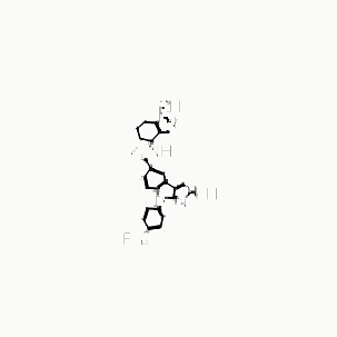 Cn1cc2c3cc(C(=O)NC4CCCc5c4cnn5C)ccc3n(-c3ccc(C(F)(F)F)cc3)c2n1